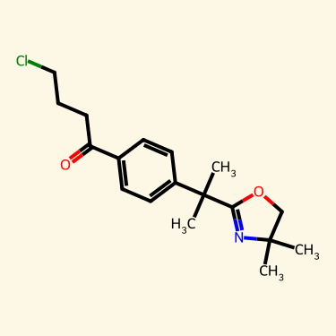 CC1(C)COC(C(C)(C)c2ccc(C(=O)CCCCl)cc2)=N1